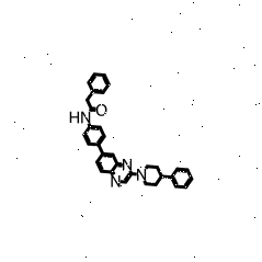 O=C(Cc1ccccc1)Nc1ccc(-c2ccc3ncc(N4CCC(c5ccccc5)CC4)nc3c2)cc1